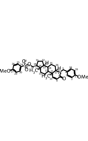 COc1ccc(CN2C(=O)C=C[C@]3(C)C4CC[C@]5(C)[C@@H](COS(=O)(=O)c6ccc(OC)cc6)CC[C@H]5C4CC[C@@H]23)cc1